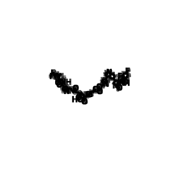 COc1ncc(-c2ccc3nccc(-c4ccc(COC(=O)OCCSSCC(NC(=O)CCC(=O)NCc5cc(C(=O)N[C@@H](C)C(=O)N6CC(F)(F)C[C@H]6C)ccn5)C(=O)O)nc4)c3c2)cc1NS(=O)(=O)c1ccc(F)cc1F